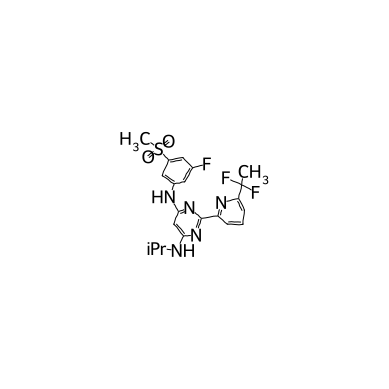 CC(C)Nc1cc(Nc2cc(F)cc(S(C)(=O)=O)c2)nc(-c2cccc(C(C)(F)F)n2)n1